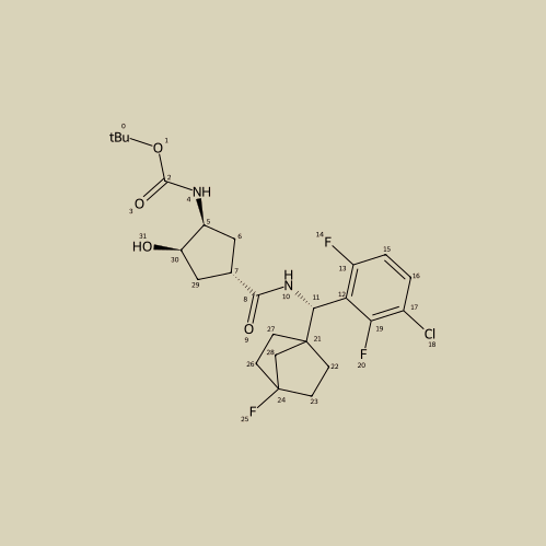 CC(C)(C)OC(=O)N[C@H]1C[C@H](C(=O)N[C@H](c2c(F)ccc(Cl)c2F)C23CCC(F)(CC2)C3)C[C@H]1O